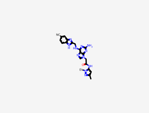 CCn1nc(C)cc1NC(=O)Cn1cnc2c(NCc3nc4cc(C#N)ccc4[nH]3)nc(N)nc21